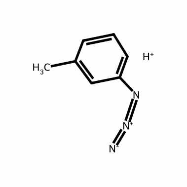 Cc1cccc(N=[N+]=[N-])c1.[H+]